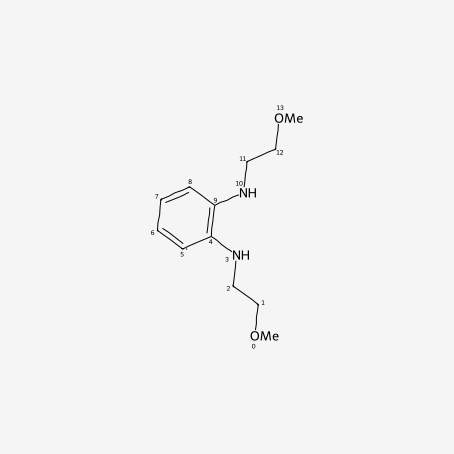 COCCNc1[c]cccc1NCCOC